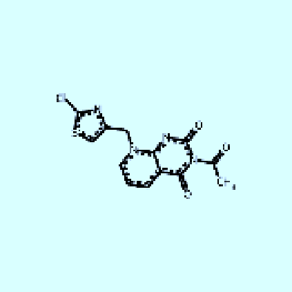 CC(=O)n1c(=O)nc2n(Cc3csc(Cl)n3)cccc-2c1=O